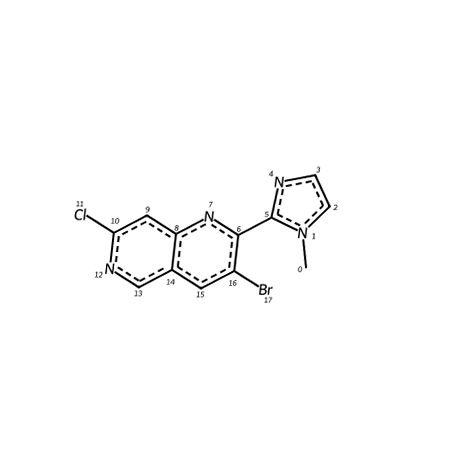 Cn1ccnc1-c1nc2cc(Cl)ncc2cc1Br